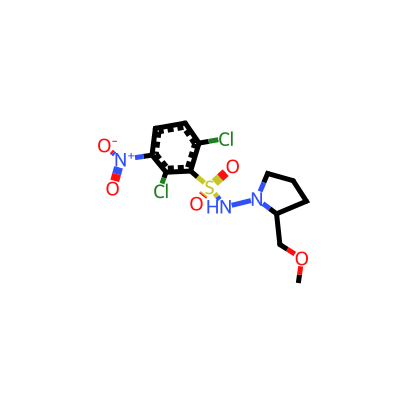 COCC1CCCN1NS(=O)(=O)c1c(Cl)ccc([N+](=O)[O-])c1Cl